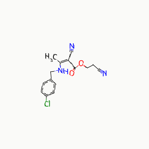 C/C(NCc1ccc(Cl)cc1)=C(\C#N)C(=O)OCCC#N